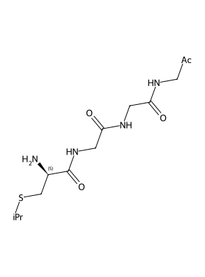 CC(=O)CNC(=O)CNC(=O)CNC(=O)[C@H](N)CSC(C)C